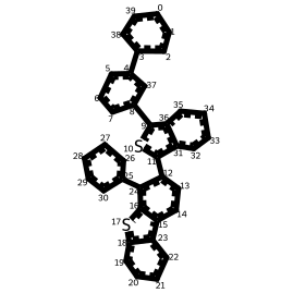 c1ccc(-c2cccc(-c3sc(-c4ccc5c(sc6ccccc65)c4-c4ccccc4)c4ccccc34)c2)cc1